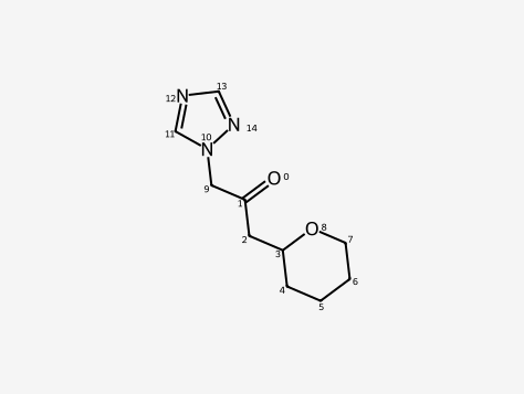 O=C(CC1CCCCO1)Cn1cncn1